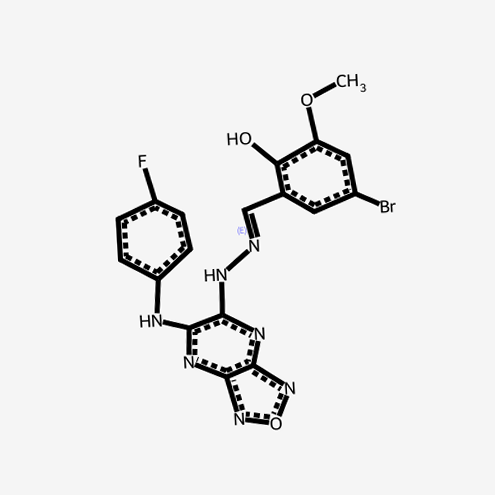 COc1cc(Br)cc(/C=N/Nc2nc3nonc3nc2Nc2ccc(F)cc2)c1O